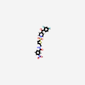 O=C(NCc1ccc(S(=O)(=O)N2CCC(C(=O)c3ccc(F)cc3F)CC2)s1)c1cccc([N+](=O)[O-])c1